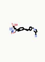 N#CC1CCN(Cc2ccc(C#Cc3ccc([C@@H](CO)Cc4nc[nH]c(=O)c4O)cc3)cc2)C1